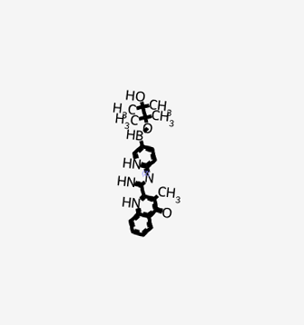 Cc1c(C(=N)/N=c2/ccc(BOC(C)(C)C(C)(C)O)c[nH]2)[nH]c2ccccc2c1=O